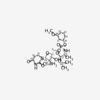 B[C@]1(Cl)[C@H](O)[C@@H](CO[P@](=O)(N[C@@H](C)C(=O)OC(C)C)Oc2cccc(OC)c2)O[C@H]1n1ccc(=O)[nH]c1=O